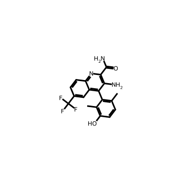 Cc1ccc(O)c(C)c1-c1c(N)c(C(N)=O)nc2ccc(C(F)(F)F)cc12